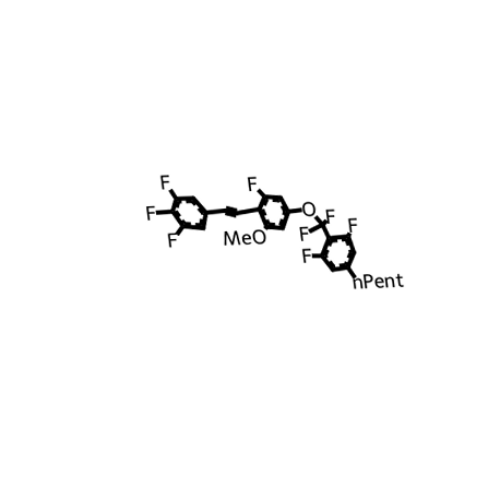 CCCCCc1cc(F)c(C(F)(F)Oc2cc(F)c(C#Cc3cc(F)c(F)c(F)c3)c(OC)c2)c(F)c1